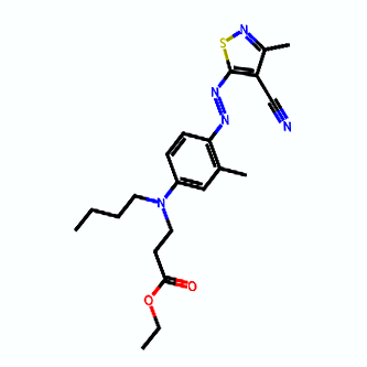 CCCCN(CCC(=O)OCC)c1ccc(N=Nc2snc(C)c2C#N)c(C)c1